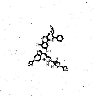 N#CCCC(Nc1c(C#N)cnc2c(Cl)cc(N[C@H](C3=CN(C4[C@H]5CN(C6COC6)C[C@@H]45)NN3)c3csc4c3CCN(C3COC3)C4)cc12)c1ccccc1